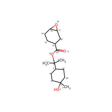 CC1(O)CCC(C(C)(C)OC(=O)C2CCC3OC3C2)CC1